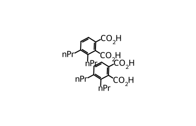 CCCc1ccc(C(=O)O)c(C(=O)O)c1CCC.CCCc1ccc(C(=O)O)c(C(=O)O)c1CCC